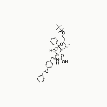 C[C@@H](CCCO[Si](C)(C)C(C)(C)C)CN(C[C@@H](O)[C@H](Cc1ccc(OCc2ccccc2)cc1)NC(=O)O)S(=O)(=O)c1ccccc1